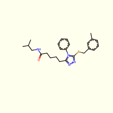 Cc1cccc(CSc2nnc(CCCCC(=O)NCC(C)C)n2-c2ccccc2)c1